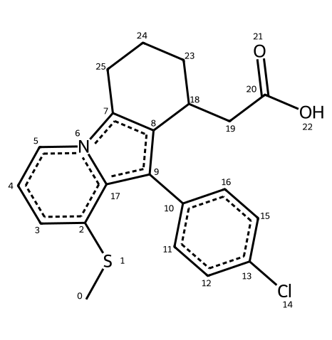 CSc1cccn2c3c(c(-c4ccc(Cl)cc4)c12)C(CC(=O)O)CCC3